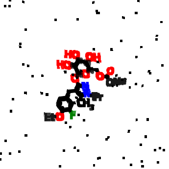 CCOc1ccc(Cc2c(O[C@@H]3O[C@H](COC(=O)OC)[C@@H](O)[C@H](O)[C@H]3O)nn(C(C)C)c2C)cc1F